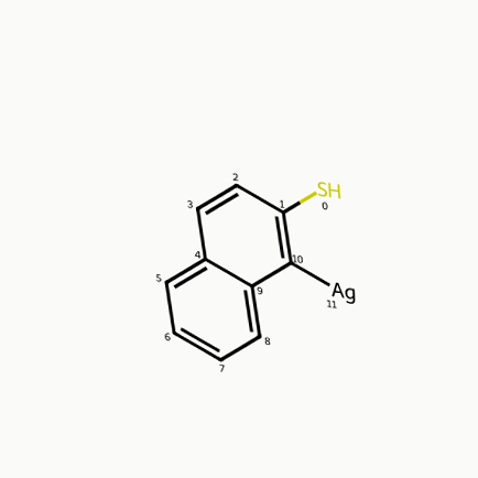 Sc1ccc2ccccc2[c]1[Ag]